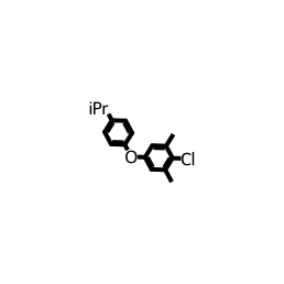 Cc1cc(Oc2ccc(C(C)C)cc2)cc(C)c1Cl